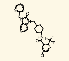 O=C(NC1CCC(Cn2c(=O)n(Cc3ccccn3)c3ccccc32)CC1)c1cc(Cl)cnc1C(F)(F)F